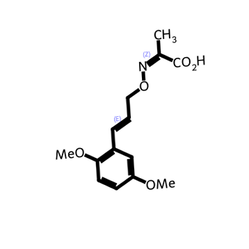 COc1ccc(OC)c(/C=C/CO/N=C(/C)C(=O)O)c1